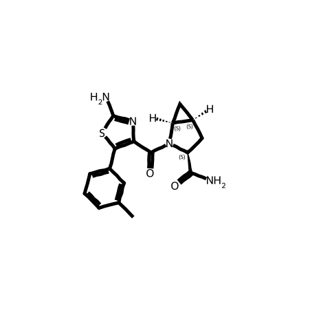 Cc1cccc(-c2sc(N)nc2C(=O)N2[C@H](C(N)=O)C[C@@H]3C[C@@H]32)c1